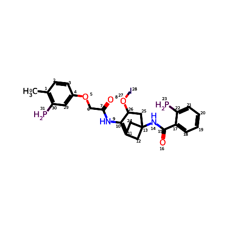 Cc1ccc(OCC(=O)NC2=C3CC(NC(=O)c4ccccc4P)(C3)CC2OI)cc1P